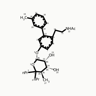 CCCC1(CCC)O[C@H](Oc2ccc(CCNC(C)=O)c(-c3cccc(C)c3)c2)[C@H](O)[C@H](O)[C@H]1C